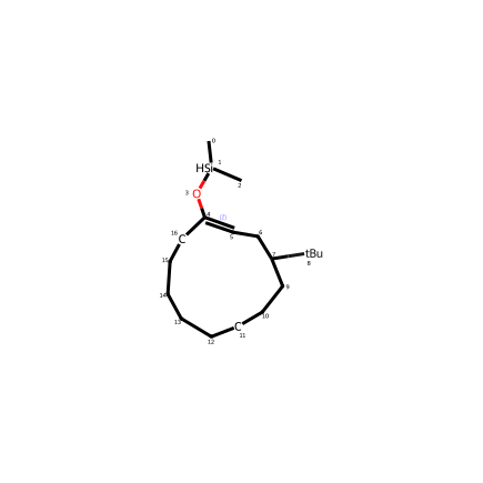 C[SiH](C)O/C1=C\CC(C(C)(C)C)CCCCCCCC1